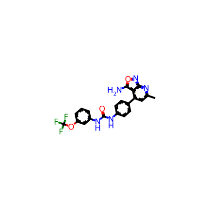 Cc1cc(-c2ccc(NC(=O)Nc3cccc(OC(F)(F)F)c3)cc2)c2c(N)onc2n1